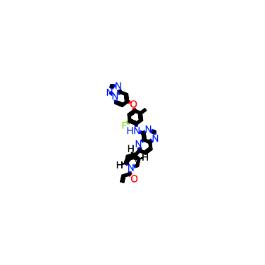 C=CC(=O)N1C[C@H]2CC[C@@H]1C[C@@H]2c1ccc2ncnc(Nc3cc(C)c(Oc4ccn5ncnc5c4)cc3F)c2n1